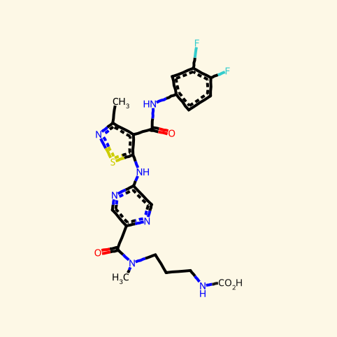 Cc1nsc(Nc2cnc(C(=O)N(C)CCCNC(=O)O)cn2)c1C(=O)Nc1ccc(F)c(F)c1